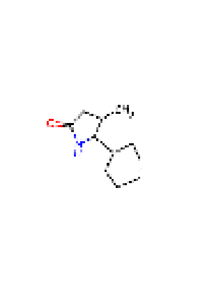 CC1CC(=O)NC1C1CCCCC1